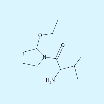 CCOC1CCCN1C(=O)C(N)C(C)C